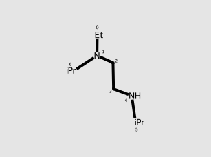 CCN(CCNC(C)C)C(C)C